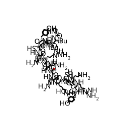 CC[C@H](C)[C@H](NC(=O)[C@@H]1CCCN1)C(=O)N[C@H](C(=O)N[C@@H](Cc1ccc(O)cc1)C(=O)N[C@@H](CS)C(=O)N[C@@H](CC(N)=O)C(=O)N[C@@H](CCCNC(=N)N)C(=O)N[C@@H](CCN)C(=O)N[C@H](C(=O)N[C@H](CCN)C(=O)N[C@@H](CCCCN)C(=O)N[C@@H](CS)C(=O)N[C@@H](CCN)C(=O)N[C@@H](CCCNC(=N)N)C(=O)N[C@@H](Cc1ccc(O)cc1)C(=O)O)[C@@H](C)O)[C@@H](C)CC